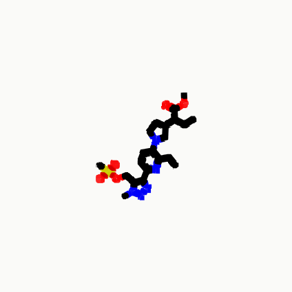 CCc1nc(-c2nnn(C)c2COS(C)(=O)=O)ccc1N1CCC(C(CC)C(=O)OC)C1